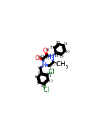 C[C@@H]1CN(Cc2ccc(Cl)cc2Cl)C(=O)C(=O)N1c1ccccc1